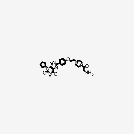 Cn1c(=O)c2nc(-c3ccc(OCCN4CCN(C(=O)CN)CC4)cc3)nnc2n(C2CCCC2)c1=O